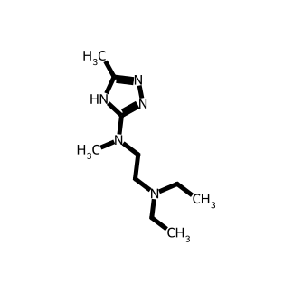 CCN(CC)CCN(C)c1nnc(C)[nH]1